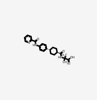 CC(C)(NC(=O)[C@H]1CC[C@H](c2ccc(NC(=O)c3ccccn3)cc2)CC1)C(=O)O